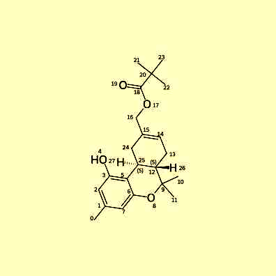 Cc1cc(O)c2c(c1)OC(C)(C)[C@H]1CC=C(COC(=O)C(C)(C)C)C[C@H]21